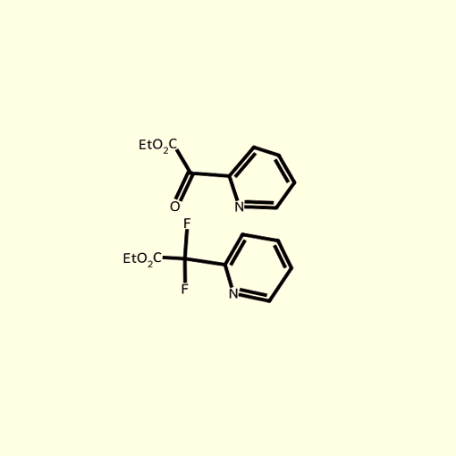 CCOC(=O)C(=O)c1ccccn1.CCOC(=O)C(F)(F)c1ccccn1